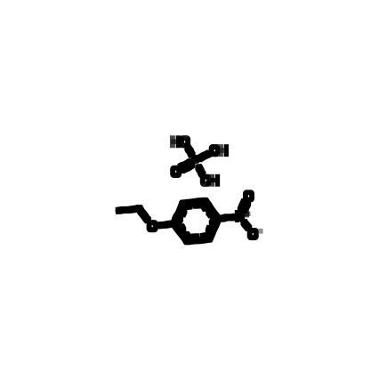 CCOc1ccc([N+](=O)[O-])cc1.O=P(O)(O)O